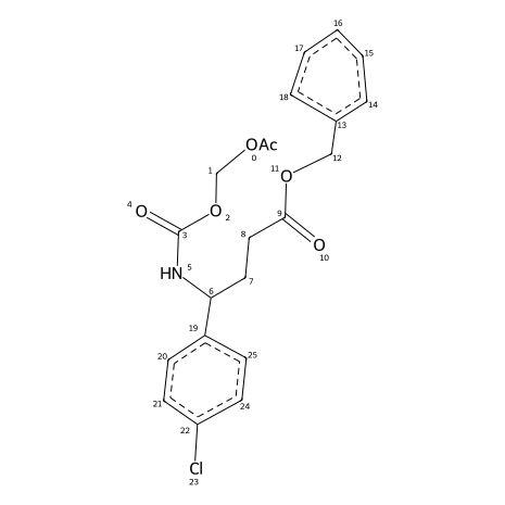 CC(=O)OCOC(=O)NC(CCC(=O)OCc1ccccc1)c1ccc(Cl)cc1